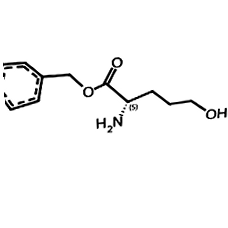 N[C@@H](CCCO)C(=O)OCc1ccccc1